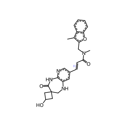 Cc1c(CN(C)C(=O)/C=C/c2cnc3c(c2)NCC2(CC(O)C2)C(=O)N3)oc2ccccc12